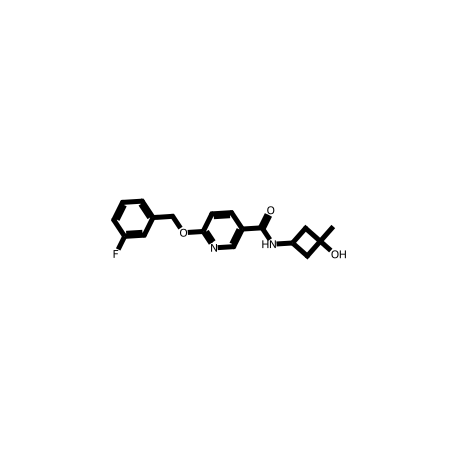 CC1(O)CC(NC(=O)c2ccc(OCc3cccc(F)c3)nc2)C1